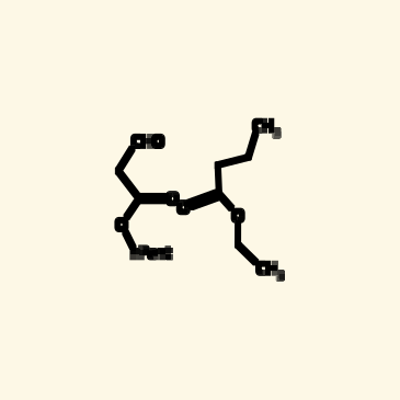 CCCC(=O)OCC.CCCCCOC(=O)CC=O